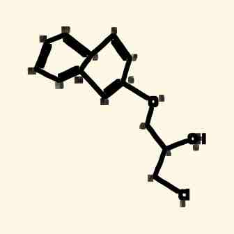 OC(CCl)COc1ccc2ccccc2c1